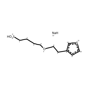 O=S(=O)(O)CCCCOCCc1ccsc1.[NaH]